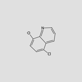 [O]c1ccc(Cl)c2cccnc12